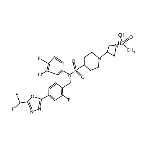 C[SH](C)(=O)N1CC(N2CCC(S(=O)(=O)N(Cc3ccc(-c4nnc(C(F)F)o4)cc3F)c3ccc(F)c(Cl)c3)CC2)C1